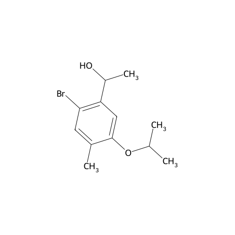 Cc1cc(Br)c(C(C)O)cc1OC(C)C